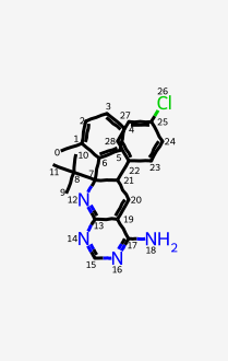 Cc1ccccc1C1(C(C)(C)C)N=c2ncnc(N)c2=CC1c1ccc(Cl)cc1